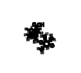 CCC/C(=C(/C)C(=O)O)[Si](O[Si](C)(C)C)(O[Si](C)(C)C)O[Si](C)(C)C.O=C1C=C(N2CC2)C(=O)C(N2CC2)=C1N1CC1